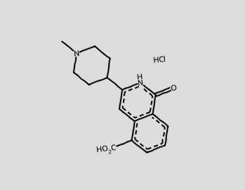 CN1CCC(c2cc3c(C(=O)O)cccc3c(=O)[nH]2)CC1.Cl